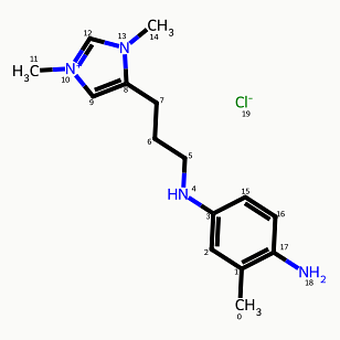 Cc1cc(NCCCc2c[n+](C)cn2C)ccc1N.[Cl-]